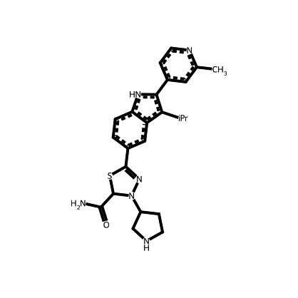 Cc1cc(-c2[nH]c3ccc(C4=NN(C5CCNC5)C(C(N)=O)S4)cc3c2C(C)C)ccn1